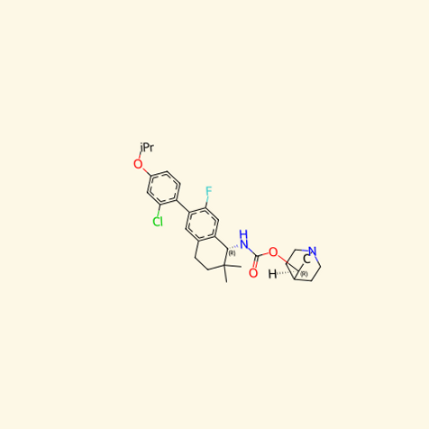 CC(C)Oc1ccc(-c2cc3c(cc2F)[C@H](NC(=O)O[C@H]2CN4CCC2CC4)C(C)(C)CC3)c(Cl)c1